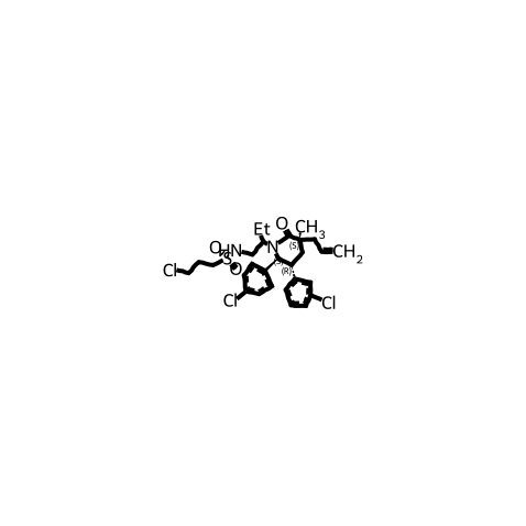 C=CC[C@@]1(C)C[C@H](c2cccc(Cl)c2)[C@@H](c2ccc(Cl)cc2)N(C(CC)CNS(=O)(=O)CCCCl)C1=O